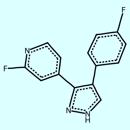 Fc1ccc(-c2c[nH]nc2-c2ccnc(F)c2)cc1